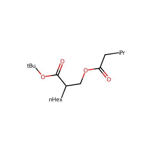 CCCCCCC(COC(=O)CC(C)C)C(=O)OC(C)(C)C